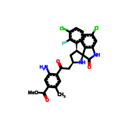 COC(=O)c1cc(N)c(C(=O)C[C@H]2C[C@H](c3cccc(Cl)c3F)[C@@]3(N2)C(=O)Nc2cc(Cl)ccc23)cc1C